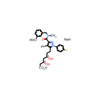 COc1cccc(CN(C)C(=O)c2nn(-c3ccc(F)cc3)c(CC[C@@H](O)C[C@@H](O)CC(=O)O)c2C(C)C)c1.[NaH]